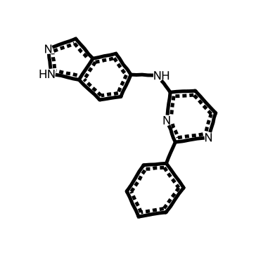 c1ccc(-c2nccc(Nc3ccc4[nH]ncc4c3)n2)cc1